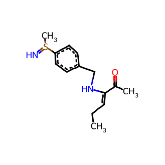 CC/C=C(\NCc1ccc(S(C)=N)cc1)C(C)=O